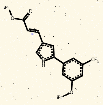 CC(C)OC(=O)/C=C/c1c[nH]c(-c2cc(OC(C)C)cc(C(F)(F)F)c2)c1